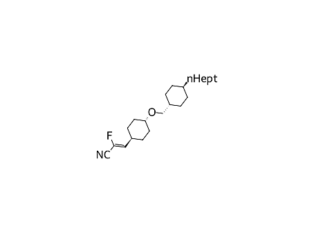 CCCCCCC[C@H]1CC[C@H](CO[C@H]2CC[C@H](C=C(F)C#N)CC2)CC1